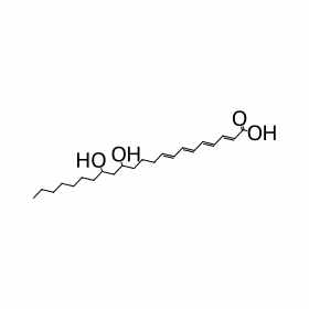 CCCCCCCC(O)CC(O)CCCC=CC=CC=CC=CC(=O)O